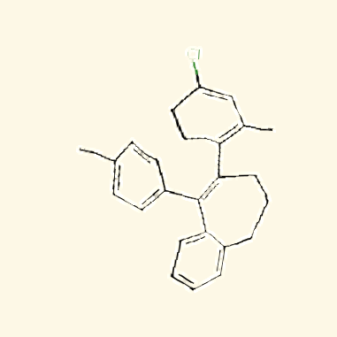 CC1=C(C2=C(c3ccc(C)cc3)c3ccccc3CCC2)CCC(Cl)=C1